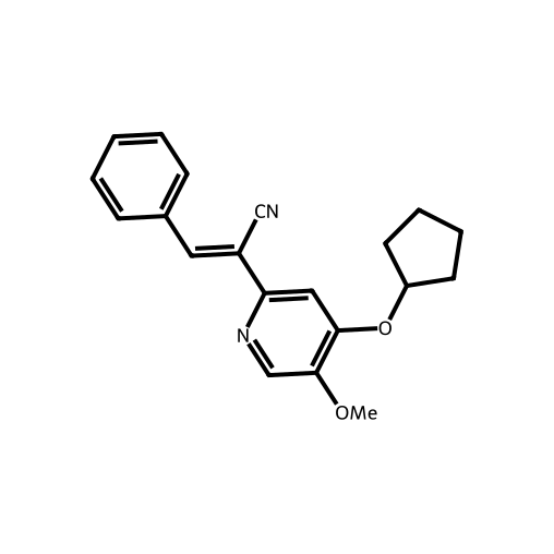 COc1cnc(C(C#N)=Cc2ccccc2)cc1OC1CCCC1